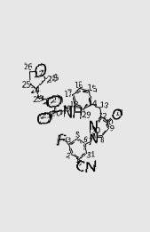 N#Cc1cc(F)cc(-n2ccc(=O)c(Cc3cccc(NC(=O)OCC4CCOC4)c3)n2)c1